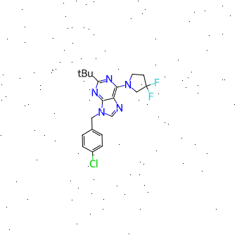 CC(C)(C)c1nc(N2CCC(F)(F)C2)c2ncn(Cc3ccc(Cl)cc3)c2n1